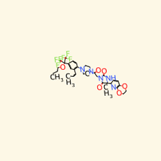 C/C=C\c1cc(C(OCCCC)(C(F)(F)F)C(F)(F)F)ccc1N1CCN(C(=O)CN2C(=O)NC(C)(c3ccc4c(n3)OCCO4)C2=O)CC1